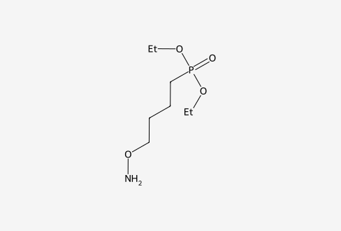 CCOP(=O)(CCCCON)OCC